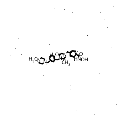 C[C@@H]1CN(Cc2ccc(C(=O)NO)cc2)C[C@H](C)N1Cc1cccc(CN2CCN(C)CC2)c1